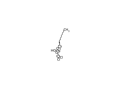 CCCCCCCCCCC#Cc1ccc(CN(CCc2ccc(Cl)c(Cl)c2)C(=O)C(=O)O)cc1